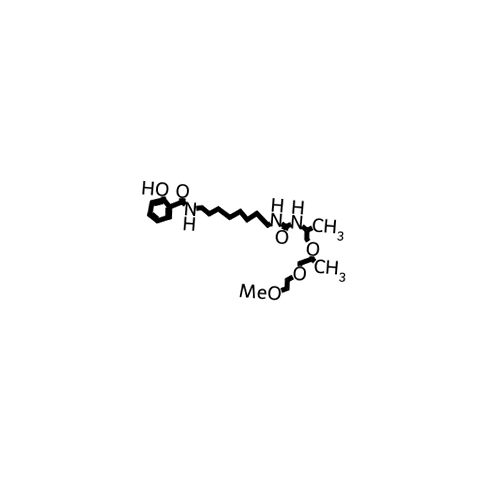 COCCOCC(C)OCC(C)NC(=O)NCCCCCCCCNC(=O)c1ccccc1O